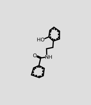 O=C(NCCc1ccccc1O)c1ccccc1